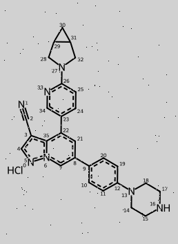 Cl.N#Cc1cnn2cc(-c3ccc(N4CCNCC4)cc3)cc(-c3ccc(N4CC5CC5C4)nc3)c12